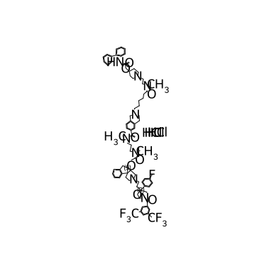 CN(CCN1CCC(OC(=O)Nc2ccccc2-c2ccccc2)CC1)C(=O)CCCCCN1CCc2cc(C(=O)N(C)CCCN(C)C(=O)CO[C@H]3Cc4ccccc4C34CCN(CC[C@@]3(c5ccc(F)cc5)CN(C(=O)c5cc(C(F)(F)F)cc(C(F)(F)F)c5)CO3)CC4)ccc2C1.Cl.Cl.Cl